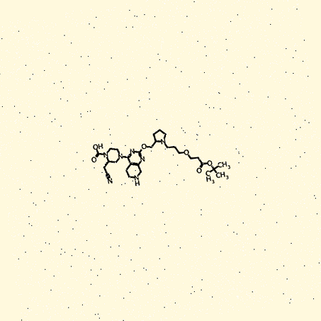 CC(C)(C)OC(=O)CCOCCCN1CCCC1COc1nc2c(c(N3CCN(C(=O)O)C(CC#N)C3)n1)CCNC2